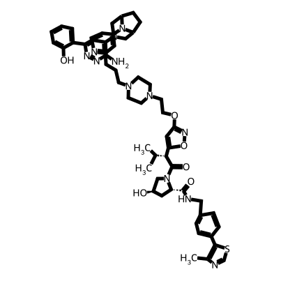 Cc1ncsc1-c1ccc(CNC(=O)[C@@H]2C[C@@H](O)CN2C(=O)[C@@H](c2cc(OCCN3CCN(CCCc4cc(N5C6CCC5CN(c5cc(-c7ccccc7O)nnc5N)C6)ccn4)CC3)no2)C(C)C)cc1